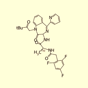 C[C@H](NC(=O)Cc1c(F)cc(F)cc1F)C(=O)NC1N=C(c2ccccn2)c2ccccc2N(CC(=O)C(C)(C)C)C1=O